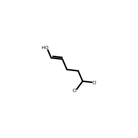 OC=CCCC(Cl)Cl